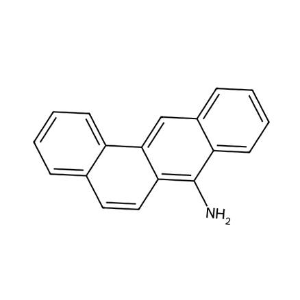 Nc1c2ccccc2cc2c1ccc1ccccc12